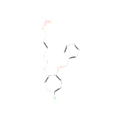 OCC/C=C/CCCC1=CCC(F)=CC=C1OCc1ccccc1